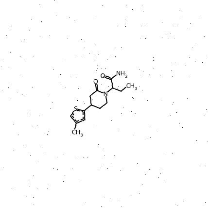 CCC(C(N)=O)N1CCC(c2cc(C)cs2)CC1=O